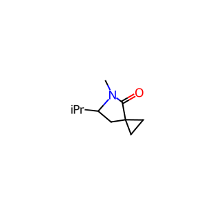 CC(C)C1CC2(CC2)C(=O)N1C